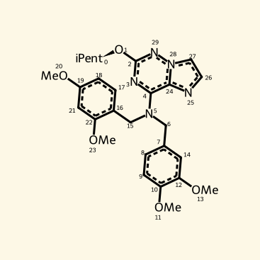 CCC[C@H](C)Oc1nc(N(Cc2ccc(OC)c(OC)c2)Cc2ccc(OC)cc2OC)c2nccn2n1